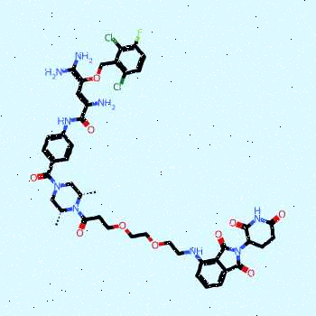 C[C@@H]1CN(C(=O)c2ccc(NC(=O)/C(N)=C/C(OCc3c(Cl)ccc(F)c3Cl)=C(N)N)cc2)C[C@H](C)N1C(=O)CCOCCOCCNc1cccc2c1C(=O)N(C1CCC(=O)NC1=O)C2=O